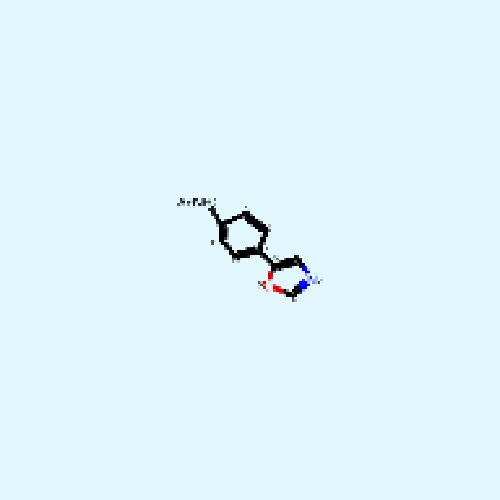 CC(=O)Nc1ccc(-c2cnco2)cc1